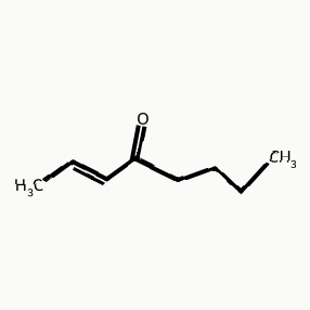 C/C=C/C(=O)CCCC